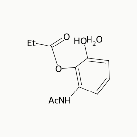 CCC(=O)Oc1c(O)cccc1NC(C)=O.O